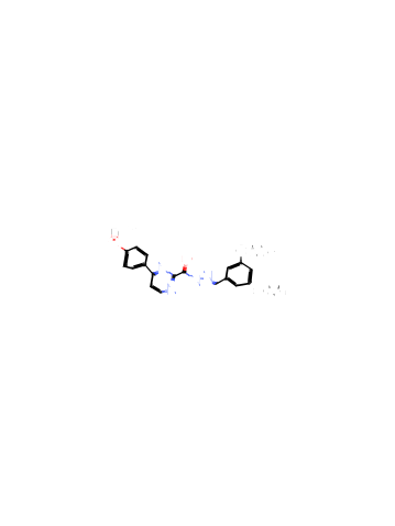 CCCOc1ccc(-c2ccnc(C(=O)N/N=C/c3cc(OC)cc(OC)c3)n2)cc1